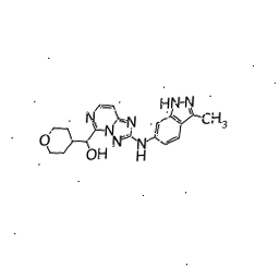 Cc1n[nH]c2cc(Nc3nc4ccnc(C(O)C5CCOCC5)n4n3)ccc12